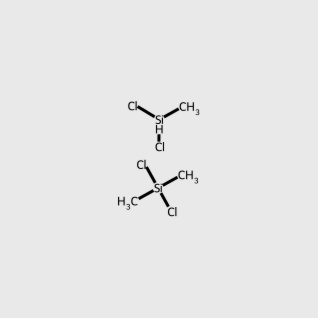 C[SiH](Cl)Cl.C[Si](C)(Cl)Cl